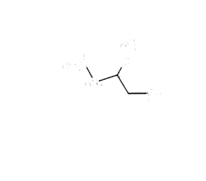 CCC(C)CC(Cl)NC(=O)O.Cl